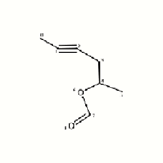 CC#CCC(C)OC=O